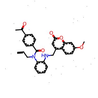 C=CCN(C(=O)c1ccc(C(C)=O)cc1)c1ccccc1NCc1cc(=O)oc2cc(OC)ccc12